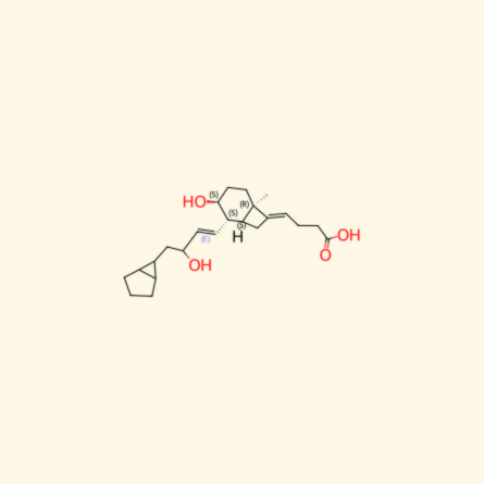 C[C@@]12CC[C@H](O)[C@@H](/C=C/C(O)CC3C4CCCC43)[C@@H]1CC2=CCCC(=O)O